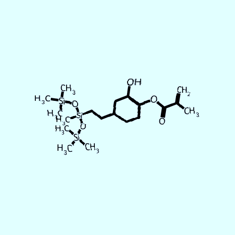 C=C(C)C(=O)OC1CCC(CC[Si](C)(O[Si](C)(C)C)O[Si](C)(C)C)CC1O